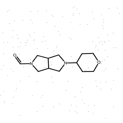 O=CN1CC2CN(C3CCOCC3)CC2C1